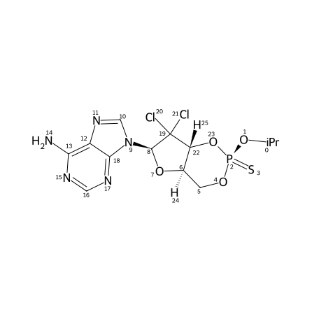 CC(C)O[P@@]1(=S)OC[C@H]2O[C@@H](n3cnc4c(N)ncnc43)C(Cl)(Cl)[C@@H]2O1